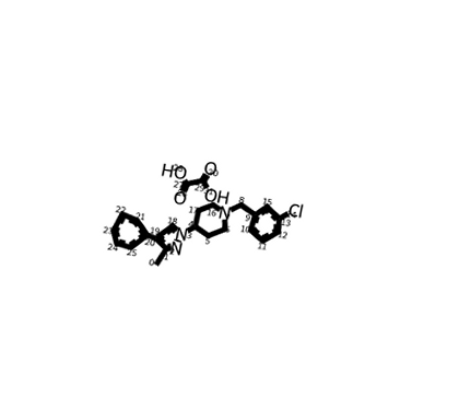 Cc1nn(C2CCN(Cc3cccc(Cl)c3)CC2)cc1-c1ccccc1.O=C(O)C(=O)O